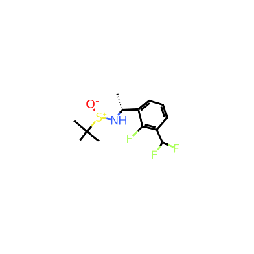 C[C@@H](N[S@@+]([O-])C(C)(C)C)c1cccc(C(F)F)c1F